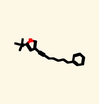 C[Si](C)(C)c1cc(C#CCCCCCc2ccccc2)co1